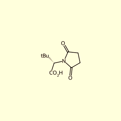 CC(C)(C)[C@@H](C(=O)O)N1C(=O)CCC1=O